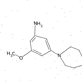 COc1cc(N)cc(N2CCCCC2)c1